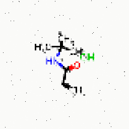 C=CC(=O)NC(C)(C)C.Cl